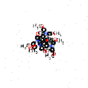 COc1ccc(N(c2ccc(OC)cc2)c2ccc3c(c2)C(C(C)(C)C)(C2(C(C)(C)C)c4cc(N(c5ccc(OC)cc5)c5ccc(OC)cc5)ccc4-c4ccc(N(c5ccc(OC)cc5)c5ccc(OC)cc5)cc42)c2cc(N(c4ccc(OC)cc4)c4ccc(OC)cc4)ccc2-3)cc1